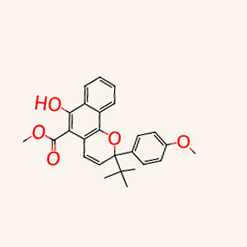 COC(=O)c1c2c(c3ccccc3c1O)OC(c1ccc(OC)cc1)(C(C)(C)C)C=C2